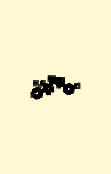 Cn1c(-c2ccncc2)nnc1C(S)c1coc(-c2cccc(Cl)c2)n1